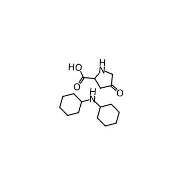 C1CCC(NC2CCCCC2)CC1.O=C1CNC(C(=O)O)C1